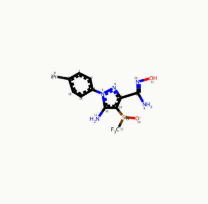 CC(C)c1ccc(-n2nc(C(N)=NO)c([S+]([O-])C(F)(F)F)c2N)cc1